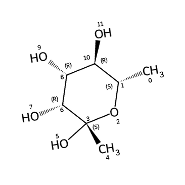 C[C@@H]1O[C@](C)(O)[C@H](O)[C@H](O)[C@H]1O